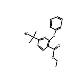 CCOC(=O)c1cnc(C(C)(C)O)nc1Oc1ccccc1